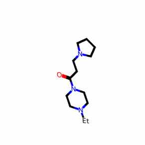 CCN1CCN(C(=O)CCN2CCCC2)CC1